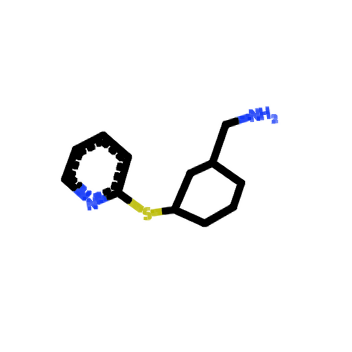 NCC1CCCC(Sc2ccccn2)C1